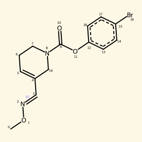 CO/N=C/C1=CCCN(C(=O)Oc2ccc(Br)cc2)C1